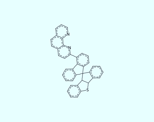 c1ccc2c(c1)SC1c3ccccc3C3(c4ccccc4-c4c(-c5ccc6ccc7cccnc7c6n5)cccc43)C21